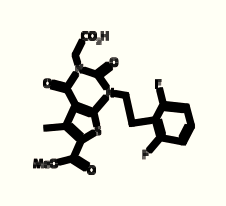 COC(=O)c1sc2c(c1C)c(=O)n(CC(=O)O)c(=O)n2CCc1c(F)cccc1F